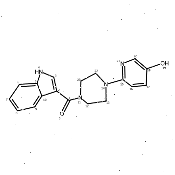 O=C(c1c[nH]c2ccccc12)N1CCN(c2ccc(O)cn2)CC1